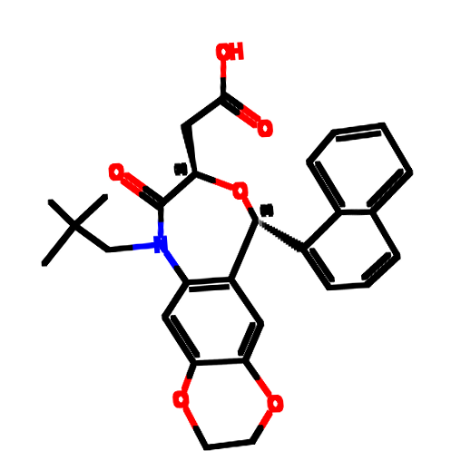 CC(C)(C)CN1C(=O)[C@@H](CC(=O)O)O[C@H](c2cccc3ccccc23)c2cc3c(cc21)OCCO3